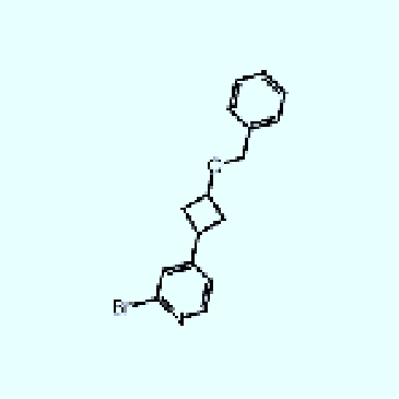 Brc1cc(C2CC(OCc3ccccc3)C2)ccn1